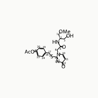 COC[C@@H](CO)NC(=O)Cn1ccc(=O)nc1SCc1ccc(OC(C)=O)cc1